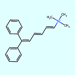 C[N+](C)(C)C=CC=CC=C(c1ccccc1)c1ccccc1